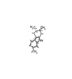 Cc1cnc2c3c([nH]c2n1)CN(C)[C@@H](C)C3